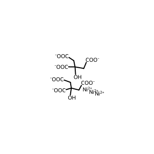 O=C([O-])CC(O)(CC(=O)[O-])C(=O)[O-].O=C([O-])CC(O)(CC(=O)[O-])C(=O)[O-].[Ni+2].[Ni+2].[Ni+2]